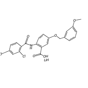 COc1cccc(COc2ccc(NC(=O)c3ccc(Cl)cc3Cl)c(C(=O)O)c2)c1.[LiH]